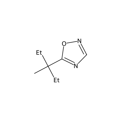 CCC(C)(CC)c1ncno1